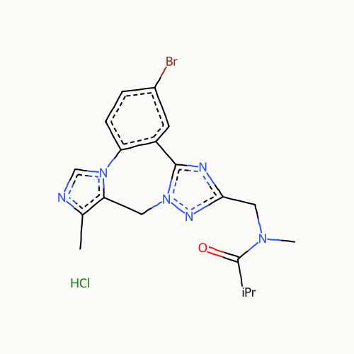 Cc1ncn2c1Cn1nc(CN(C)C(=O)C(C)C)nc1-c1cc(Br)ccc1-2.Cl